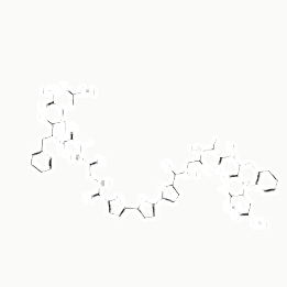 CC(NC(=O)CNC(=O)c1ccc(-c2ccc(-c3ccc(C(=O)NCC(=O)N[C@@H](C)C(=O)NC(Cc4ccccc4)C(=O)N[C@@H](CC(=O)O)C(=O)O)s3)s2)s1)C(=O)N[C@@H](Cc1ccccc1)C(=O)NC(CC(=O)O)C(=O)O